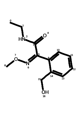 CCNC(=O)/C(=N\OC)c1ccccc1CO